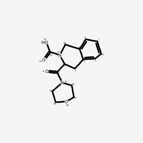 O=C(C1Cc2ccccc2CN1C(=O)O)N1CCOCC1